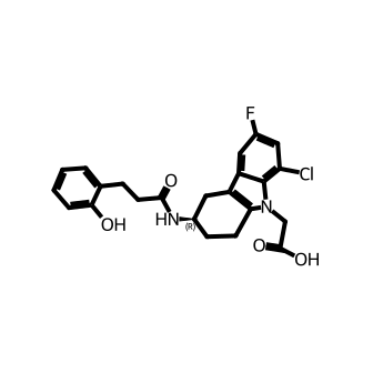 O=C(O)Cn1c2c(c3cc(F)cc(Cl)c31)C[C@H](NC(=O)CCc1ccccc1O)CC2